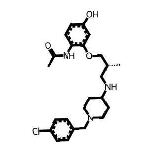 CC(=O)Nc1ccc(O)cc1OC[C@H](C)CNC1CCN(Cc2ccc(Cl)cc2)CC1